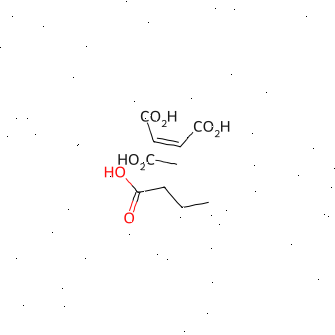 CC(=O)O.CCCC(=O)O.O=C(O)/C=C\C(=O)O